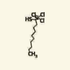 CCCCCCCCCC(S)[Si](Cl)(Cl)Cl